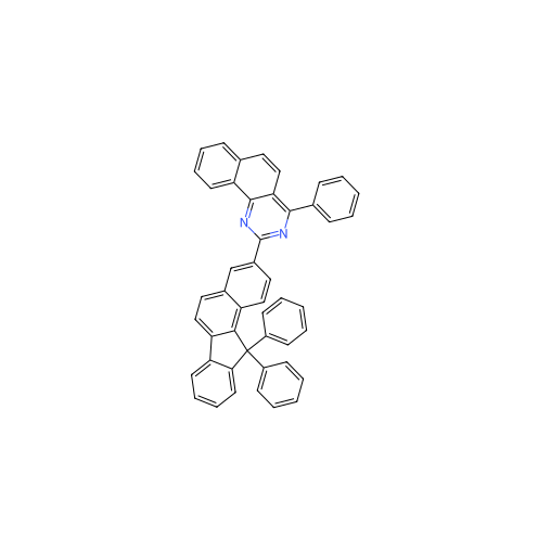 c1ccc(-c2nc(-c3ccc4c5c(ccc4c3)-c3ccccc3C5(c3ccccc3)c3ccccc3)nc3c2ccc2ccccc23)cc1